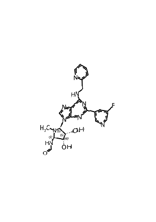 CN1[C@H](NC=O)[C@@H](O)[C@@H](O)[C@@H]1n1cnc2c(NCc3ccccn3)nc(-c3cncc(F)c3)nc21